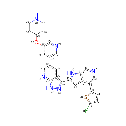 Fc1ccc(-c2cncc3[nH]c(-c4n[nH]c5ncc(-c6cncc(OC7CCNCC7)c6)cc45)cc23)s1